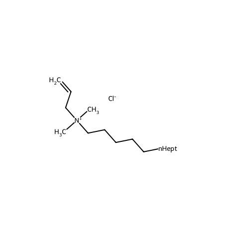 C=CC[N+](C)(C)CCCCCCCCCCCC.[Cl-]